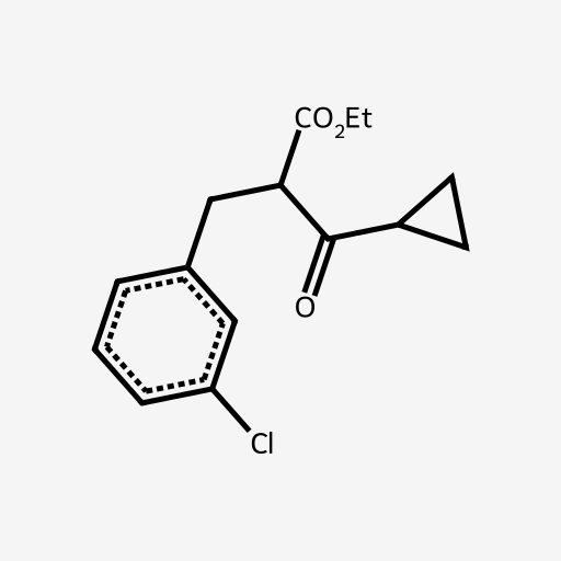 CCOC(=O)C(Cc1cccc(Cl)c1)C(=O)C1CC1